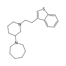 c1ccc2c(CCN3CCCC(N4CCCCCC4)C3)csc2c1